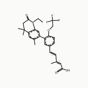 CCN1C(=O)CC(C)(C)c2cc(C)c(-c3cc(/C=C/C(C)=C/C(=O)O)ccc3OCC(F)(F)F)cc21